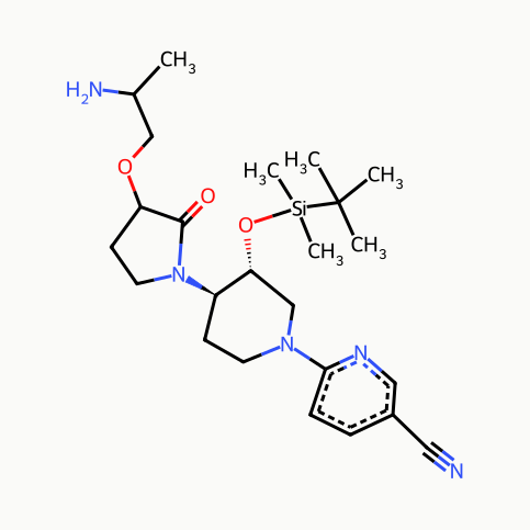 CC(N)COC1CCN([C@@H]2CCN(c3ccc(C#N)cn3)C[C@H]2O[Si](C)(C)C(C)(C)C)C1=O